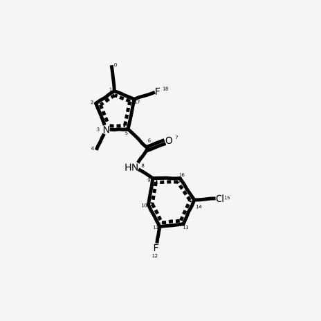 Cc1cn(C)c(C(=O)Nc2cc(F)cc(Cl)c2)c1F